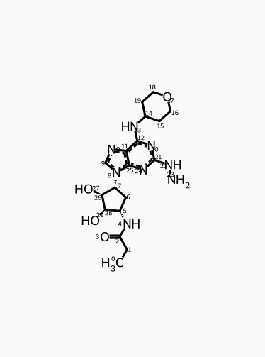 CCC(=O)N[C@H]1C[C@@H](n2cnc3c(NC4CCOCC4)nc(NN)nc32)[C@H](O)[C@@H]1O